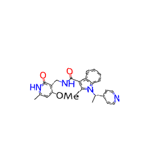 COc1cc(C)[nH]c(=O)c1CNC(=O)c1c(C)n(C(C)c2ccncc2)c2ccccc12